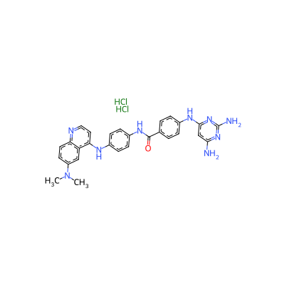 CN(C)c1ccc2nccc(Nc3ccc(NC(=O)c4ccc(Nc5cc(N)nc(N)n5)cc4)cc3)c2c1.Cl.Cl